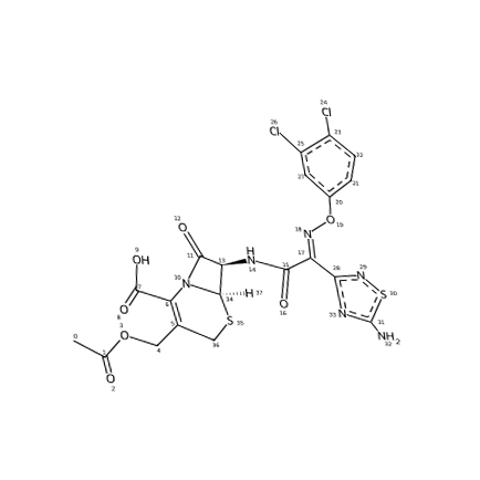 CC(=O)OCC1=C(C(=O)O)N2C(=O)[C@@H](NC(=O)C(=NOc3ccc(Cl)c(Cl)c3)c3nsc(N)n3)[C@H]2SC1